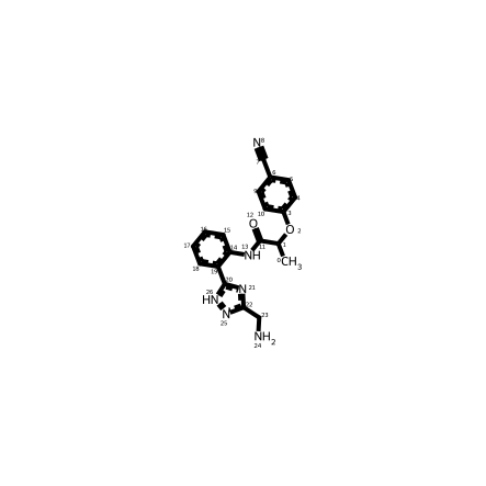 CC(Oc1ccc(C#N)cc1)C(=O)Nc1ccccc1-c1nc(CN)n[nH]1